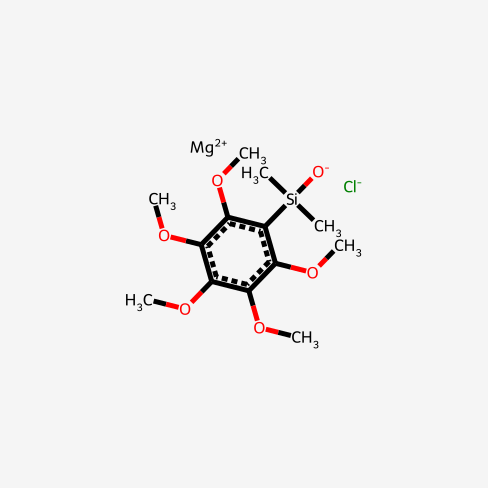 COc1c(OC)c(OC)c([Si](C)(C)[O-])c(OC)c1OC.[Cl-].[Mg+2]